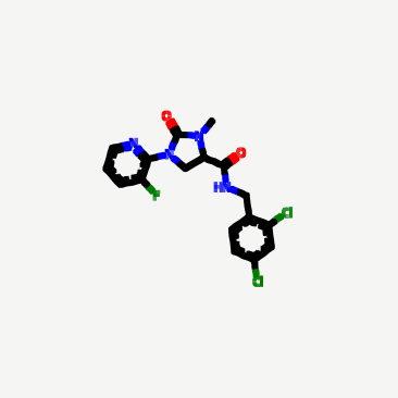 CN1C(=O)N(c2ncccc2F)CC1C(=O)NCc1ccc(Cl)cc1Cl